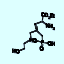 CCOC(=O)C(N)C=C(CCCCO)CP(=O)(O)O